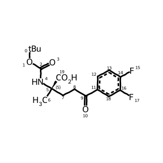 CC(C)(C)OC(=O)N[C@@](C)(CCC(=O)c1ccc(F)c(F)c1)C(=O)O